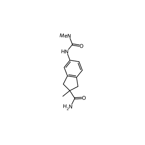 CNC(=O)Nc1ccc2c(c1)CC(C)(C(N)=O)C2